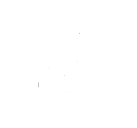 ClCc1ccccc1CI